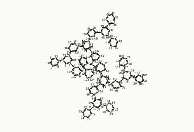 c1ccc(-c2cc(-c3ccccc3)cc(-c3cccc(-c4nc(-c5cccc(-c6cc(-c7ccccc7)cc(-c7ccccc7)c6)c5)nc(-c5cccc(C6(c7cccc(-c8nc(-c9cccc(-c%10cc(-c%11ccccc%11)cc(-c%11ccccc%11)c%10)c9)nc(-c9cccc(-c%10cc(-c%11ccccc%11)cc(-c%11ccccc%11)c%10)c9)n8)c7)c7ccccc7-c7ccccc76)c5)n4)c3)c2)cc1